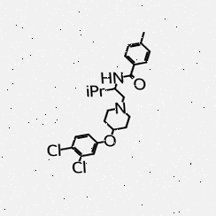 Cc1ccc(C(=O)NC(CN2CCC(Oc3ccc(Cl)c(Cl)c3)CC2)C(C)C)cc1